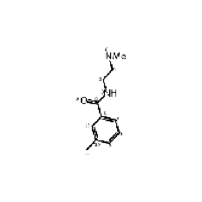 CNCCNC(=O)c1cccc(C)c1